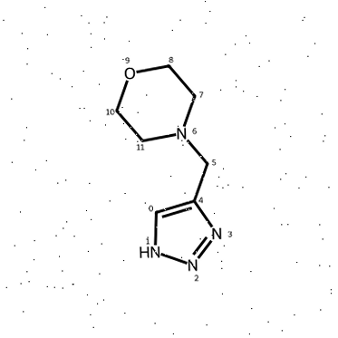 c1[nH]nnc1CN1CCOCC1